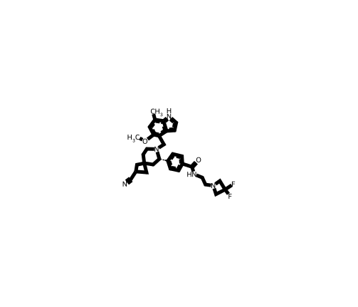 COc1cc(C)c2[nH]ccc2c1CN1CCC2(CC(C#N)C2)C[C@H]1c1ccc(C(=O)NCCN2CC(F)(F)C2)cc1